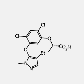 CCc1cnn(C)c1Oc1cc(O[C@@H](C)C(=O)O)c(Cl)cc1Cl